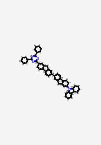 c1ccc(-c2nc(-c3ccccc3)nc(-c3ccc4c(c3)Cc3cc(-c5ccc6c(c5)Cc5cc(-n7c8ccccc8c8ccccc87)ccc5-6)ccc3-4)n2)cc1